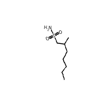 CCCCCC(C)CS(N)(=O)=O